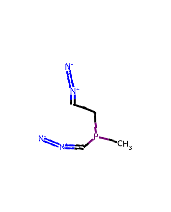 CP(C=[N+]=[N-])CC=[N+]=[N-]